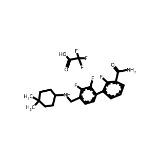 CC1(C)CCC(NCc2ccc(-c3cccc(C(N)=O)c3F)c(F)c2F)CC1.O=C(O)C(F)(F)F